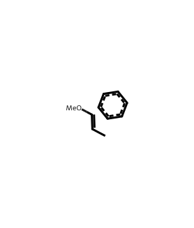 CC=COC.c1ccccc1